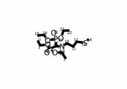 CCOP(=O)(OCC)C(NCCCSC)P(=O)(OCC)OCC